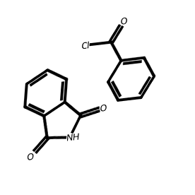 O=C(Cl)c1ccccc1.O=C1NC(=O)c2ccccc21